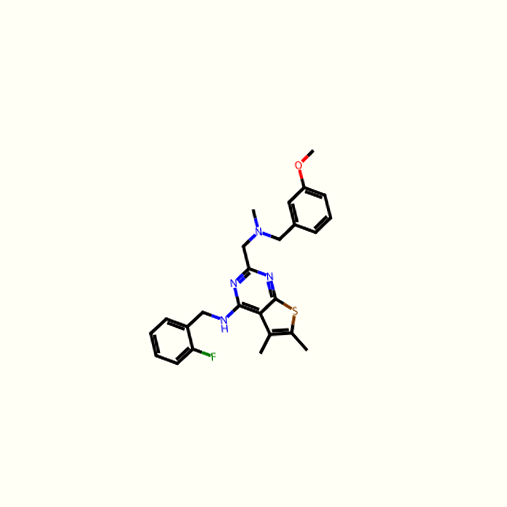 COc1cccc(CN(C)Cc2nc(NCc3ccccc3F)c3c(C)c(C)sc3n2)c1